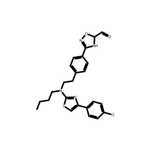 CCCCN(CCc1ccc(C2=NOC(C=O)N2)cc1)c1nc(-c2ccc(Cl)cc2)cs1